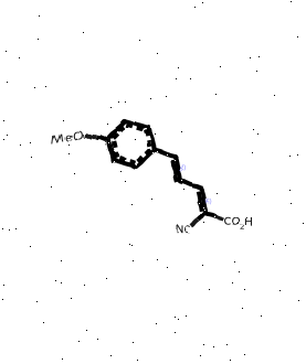 COc1ccc(/C=C/C=C(\C#N)C(=O)O)cc1